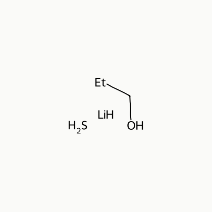 CCCO.S.[LiH]